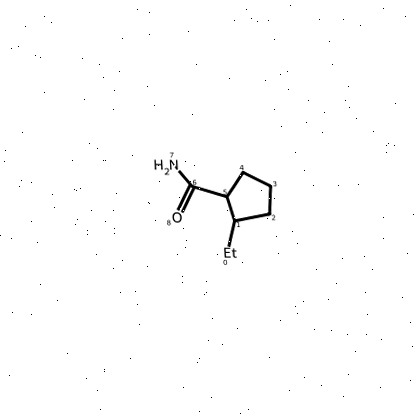 CCC1CCCC1C(N)=O